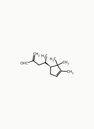 C=C(C=O)CC(C)[C@@H]1CC=C(C)C1(C)C